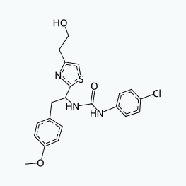 COc1ccc(CC(NC(=O)Nc2ccc(Cl)cc2)c2nc(CCO)cs2)cc1